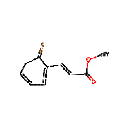 CCCOC(=O)C=CC1=CC=CCC1=S